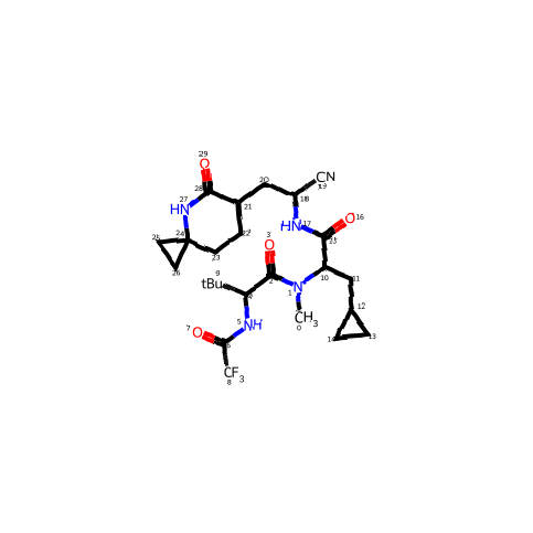 CN(C(=O)C(NC(=O)C(F)(F)F)C(C)(C)C)C(CC1CC1)C(=O)NC(C#N)CC1CCC2(CC2)NC1=O